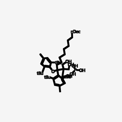 CCCCCCCCCCCCCCCCCCC(Oc1c(C(C)(C)C)cc(C)cc1C(C)(C)C)(c1c(C(C)(C)C)cc(C)cc1C(C)(C)C)C(CO)(CO)CO.OP(O)O